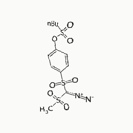 CCCCS(=O)(=O)Oc1ccc(S(=O)(=O)C(=[N+]=[N-])S(C)(=O)=O)cc1